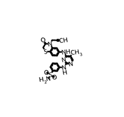 C#CCN1C(=O)CSc2ccc(Nc3nc(Nc4cccc(S(N)(=O)=O)c4)ncc3C)cc21